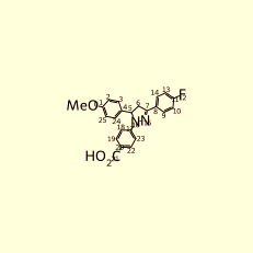 COc1ccc(C2CC(c3ccc(F)cc3)=NN2c2ccc(C(=O)O)cc2)cc1